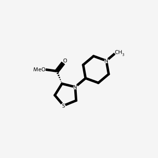 COC(=O)[C@H]1CSCN1C1CCN(C)CC1